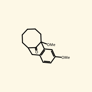 COc1ccc2c(c1)C1(OC)CCCCCC(C2)C1=O